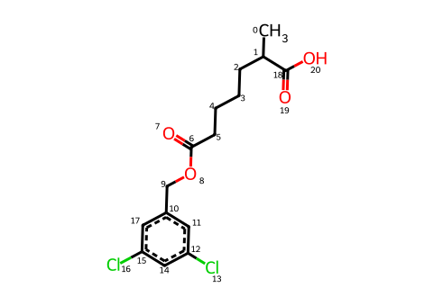 CC(CCCCC(=O)OCc1cc(Cl)cc(Cl)c1)C(=O)O